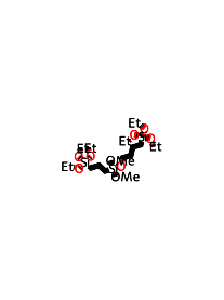 CCO[Si](CCCCO[Si](CCC[Si](OCC)(OCC)OCC)(OC)OC)(OCC)OCC